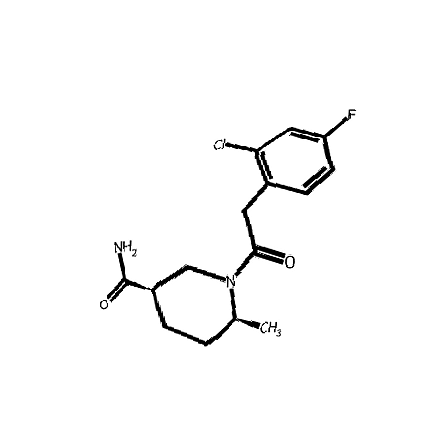 C[C@H]1CC[C@@H](C(N)=O)CN1C(=O)Cc1ccc(F)cc1Cl